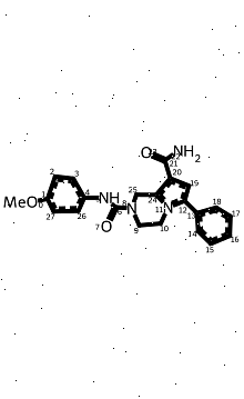 COc1ccc(NC(=O)N2CCn3c(-c4ccccc4)cc(C(N)=O)c3C2)cc1